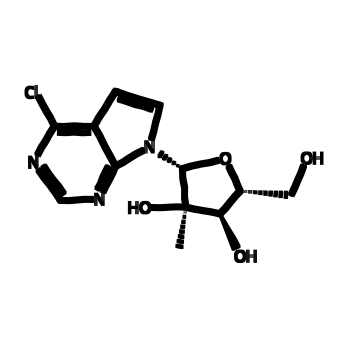 C[C@@]1(O)[C@H](O)[C@@H](CO)O[C@H]1n1ccc2c(Cl)ncnc21